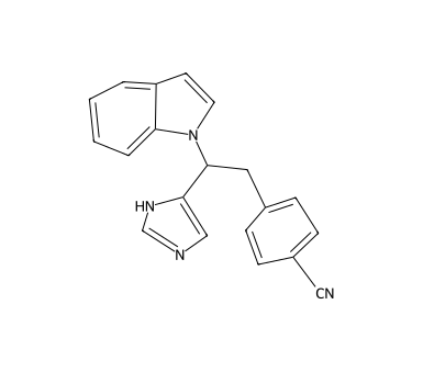 N#Cc1ccc(CC(c2cnc[nH]2)n2ccc3ccccc32)cc1